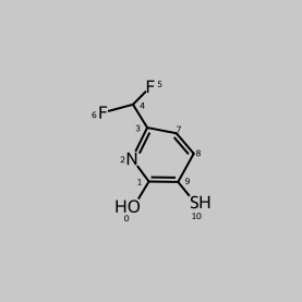 Oc1nc(C(F)F)ccc1S